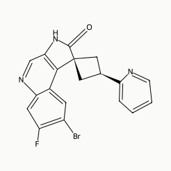 O=C1Nc2cnc3cc(F)c(Br)cc3c2[C@]12C[C@H](c1ccccn1)C2